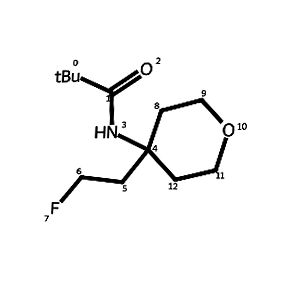 CC(C)(C)C(=O)NC1(CCF)CCOCC1